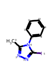 Cc1nnc(I)n1-c1ccccc1